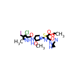 CCOC(=O)c1sc(N2CC[C@@H](NC(=O)c3[nH]c(C)c(CI)c3Cl)[C@@H](OC)C2)nc1C(=O)NC1(C#N)CC1